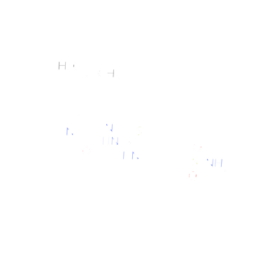 CC(C)c1ccc2c(c1)C(=NNC(=S)Nc1ccc(S(N)(=O)=O)cc1)C(=O)N2Cc1ccc2ccccc2c1